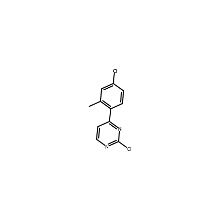 Cc1cc(Cl)ccc1-c1ccnc(Cl)n1